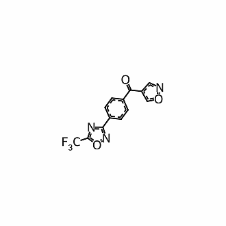 O=C(c1ccc(-c2noc(C(F)(F)F)n2)cc1)c1cnoc1